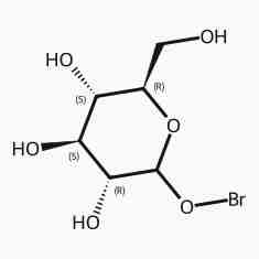 OC[C@H]1OC(OBr)[C@H](O)[C@@H](O)[C@@H]1O